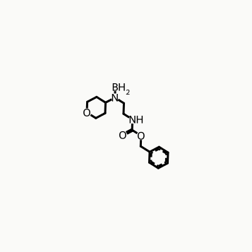 BN(CCNC(=O)OCc1ccccc1)C1CCOCC1